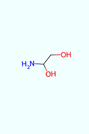 NC(O)CO